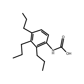 CCCc1ccc(NC(=O)O)c(CCC)c1CCC